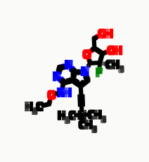 CCONc1ncnc2c1c(C#C[Si](C)(C)C)cn2[C@@H]1OC(CO)C(O)[C@@]1(C)F